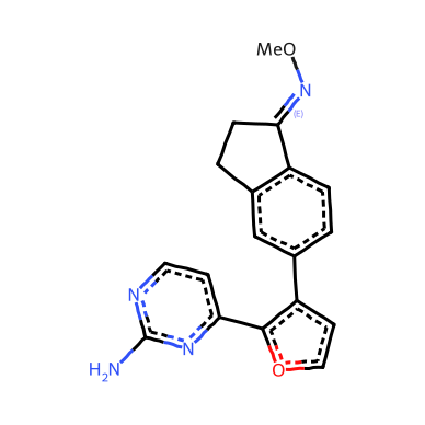 CO/N=C1\CCc2cc(-c3ccoc3-c3ccnc(N)n3)ccc21